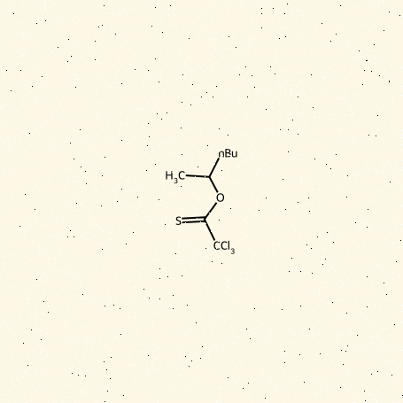 CCCCC(C)OC(=S)C(Cl)(Cl)Cl